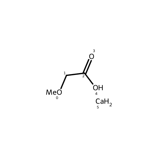 COCC(=O)O.[CaH2]